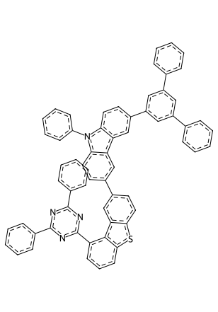 c1ccc(-c2cc(-c3ccccc3)cc(-c3ccc4c(c3)c3cc(-c5ccc6sc7cccc(-c8nc(-c9ccccc9)nc(-c9ccccc9)n8)c7c6c5)ccc3n4-c3ccccc3)c2)cc1